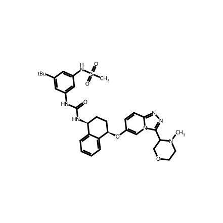 CN1CCOCC1c1nnc2ccc(O[C@@H]3CC[C@H](NC(=O)Nc4cc(NS(C)(=O)=O)cc(C(C)(C)C)c4)c4ccccc43)cn12